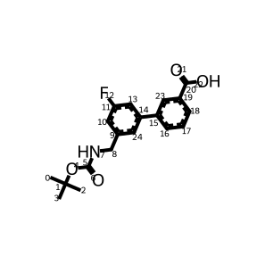 CC(C)(C)OC(=O)NCc1cc(F)cc(-c2cccc(C(=O)O)c2)c1